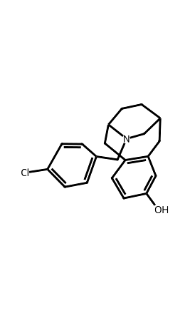 Oc1ccc2c(c1)CC1CCC(C2)N(Cc2ccc(Cl)cc2)C1